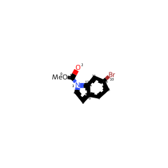 COC(=O)n1ccc2ccc(Br)cc21